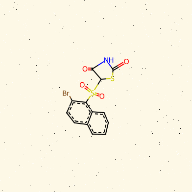 O=C1NC(=O)C(S(=O)(=O)c2c(Br)ccc3ccccc23)S1